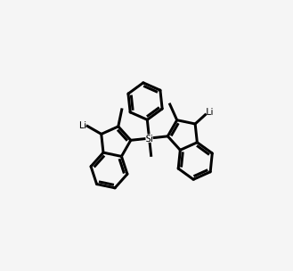 [Li][CH]1C(C)=C([Si](C)(C2=C(C)[CH]([Li])c3ccccc32)c2ccccc2)c2ccccc21